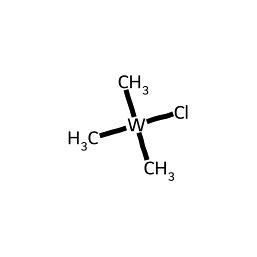 [CH3][W]([CH3])([CH3])[Cl]